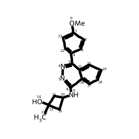 COc1ccc(-c2nnc(NC3CC(C)(O)C3)c3ccccc23)cc1